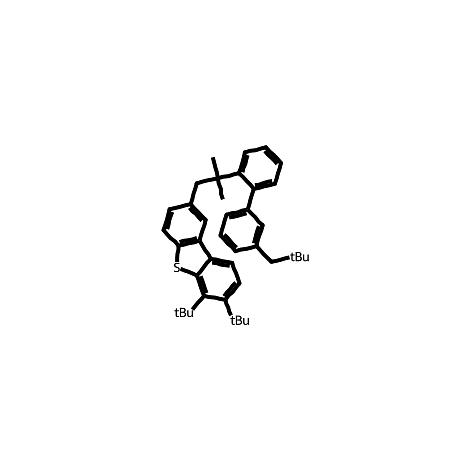 CC(C)(C)Cc1cccc(-c2ccccc2C(C)(C)Cc2ccc3sc4c(C(C)(C)C)c(C(C)(C)C)ccc4c3c2)c1